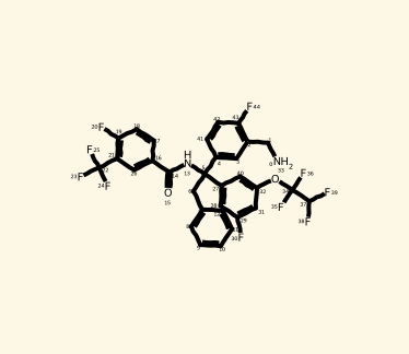 NCc1cc(C(Cc2ccccc2)(NC(=O)c2ccc(F)c(C(F)(F)F)c2)c2cc(F)cc(OC(F)(F)C(F)F)c2)ccc1F